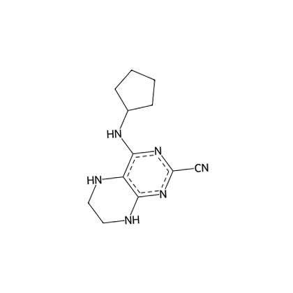 N#Cc1nc2c(c(NC3CCCC3)n1)NCCN2